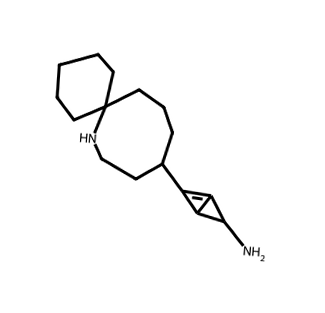 NC1C2=C(C3CCCC4(CCCCC4)NCC3)C21